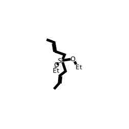 C/C=C/C[Si](C/C=C/C)(OCC)OCC